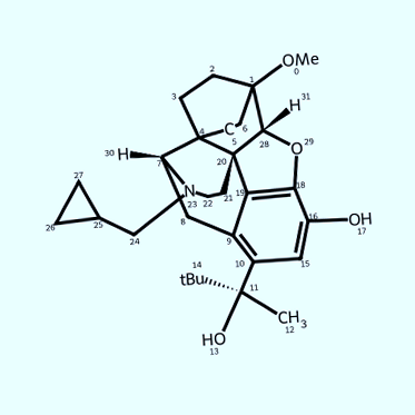 COC12CCC3(CC1)[C@H]1Cc4c([C@@](C)(O)C(C)(C)C)cc(O)c5c4[C@@]3(CCN1CC1CC1)[C@H]2O5